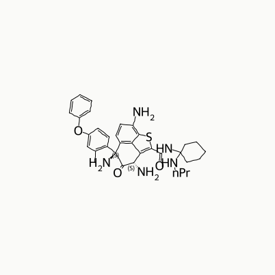 CCCNC1(NC(=O)c2sc3c(N)ccc4c3c2[C@H](N)C(=O)[C@]4(N)c2ccc(Oc3ccccc3)cc2C)CCCCC1